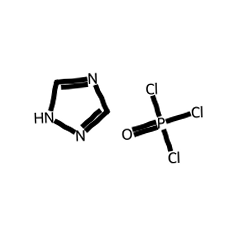 O=P(Cl)(Cl)Cl.c1nc[nH]n1